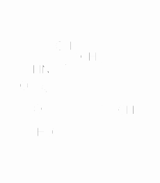 Cc1cc(C)c2c(c1)C(C)(C)NS2(=O)=O